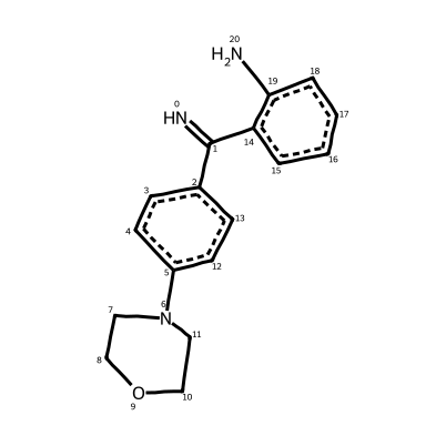 N=C(c1ccc(N2CCOCC2)cc1)c1ccccc1N